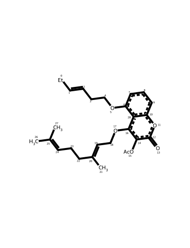 CC/C=C/CCOc1cccc2oc(=O)c(OC(C)=O)c(OC/C=C(\C)CCC=C(C)C)c12